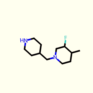 CC1CCN(CC2CCNCC2)CC1F